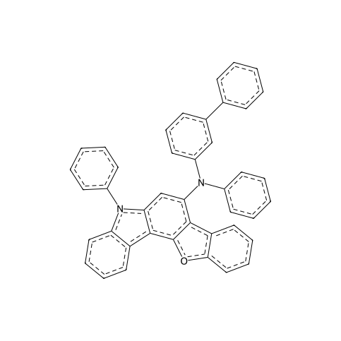 c1ccc(-c2cccc(N(c3ccccc3)c3cc4c(c5ccccc5n4-c4ccccc4)c4oc5ccccc5c34)c2)cc1